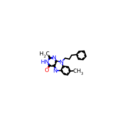 C=c1nc2c(c(=O)[nH]1)=Nc1ccc(C)cc1N2CCCc1ccccc1